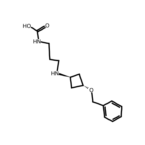 O=C(O)NCCCN[C@H]1C[C@H](OCc2ccccc2)C1